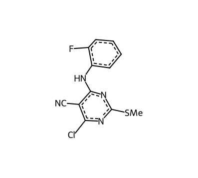 CSc1nc(Cl)c(C#N)c(Nc2ccccc2F)n1